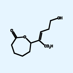 O=C1CCCCC(C(=CCCO)C(=O)O)O1